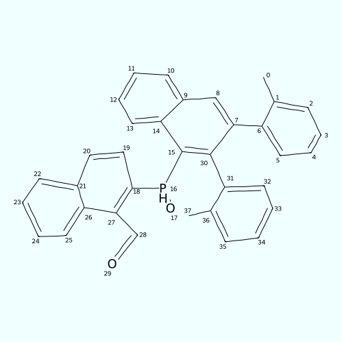 Cc1ccccc1-c1cc2ccccc2c([PH](=O)c2ccc3ccccc3c2C=O)c1-c1ccccc1C